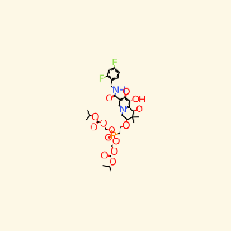 CC(C)OC(=O)OCOP(=O)(CCOC1Cn2cc(C(=O)NCc3ccc(F)cc3F)c(=O)c(O)c2C(=O)C1(C)C)OCOC(=O)OC(C)C